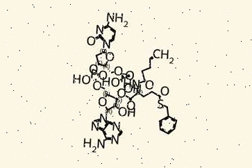 C=CCCC(=O)N[C@@H](CCC(=O)SCc1ccccc1)C(=O)O[C@H]1[C@@H](O)[C@H](n2cnc3c(N)ncnc32)O[C@@H]1COP(=O)(O)O[C@H]1C[C@H](n2ccc(N)nc2=O)O[C@@H]1COP(=O)(O)O